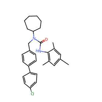 Cc1cc(C)c(NC(=O)N(Cc2ccc(-c3ccc(Cl)cc3)cc2)C2CCCCCC2)c(C)c1